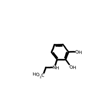 O=C(O)CNc1cccc(O)c1O